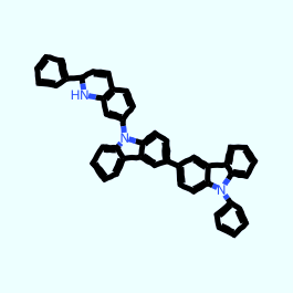 C1=CC(c2ccccc2)Nc2cc(-n3c4ccccc4c4cc(-c5ccc6c(c5)c5ccccc5n6-c5ccccc5)ccc43)ccc21